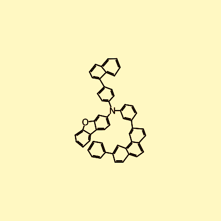 c1ccc(-c2ccc3ccc4ccc(-c5cccc(N(c6ccc(-c7cccc8ccccc78)cc6)c6ccc7c(c6)oc6ccccc67)c5)cc4c3c2)cc1